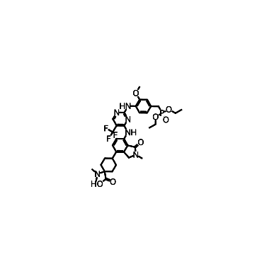 CCOP(=O)(Cc1ccc(Nc2ncc(C(F)(F)F)c(Nc3ccc(C4CCC(C(=O)O)(N(C)C)CC4)c4c3C(=O)N(C)C4)n2)c(OC)c1)OCC